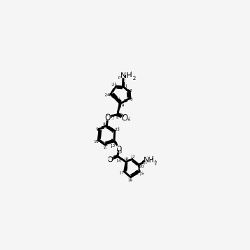 Nc1ccc(C(=O)Oc2cccc(OC(=O)c3cccc(N)c3)c2)cc1